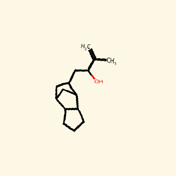 C=C(C)C(O)CC1CC2CC1C1CCCC21